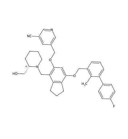 Cc1c(COc2cc(OCc3cncc(C#N)c3)c(CN3CCCC[C@H]3CO)c3c2CCC3)cccc1-c1ccc(F)cc1